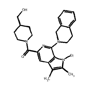 CCn1c(C)c(C)c2cc(C(=O)N3CCC(CO)CC3)nc(N3CCc4ccccc4C3)c21